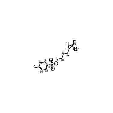 Cc1ccc(S(=O)(=O)OCCCCC2CC2(F)Br)cc1